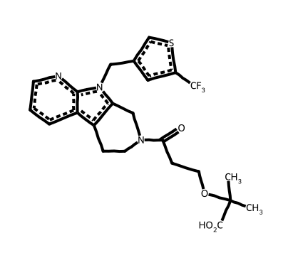 CC(C)(OCCC(=O)N1CCc2c(n(Cc3csc(C(F)(F)F)c3)c3ncccc23)C1)C(=O)O